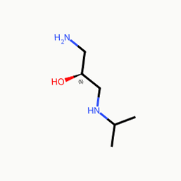 CC(C)NC[C@@H](O)CN